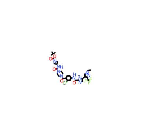 C=Cn1cc(-c2cnc(C(=O)Nc3ccc(C(=O)N4CCN(C(=O)NC5CN(C(=O)OC(C)(C)C)C5)CC4)c(Cl)c3)n2C)c(C(F)(F)F)n1